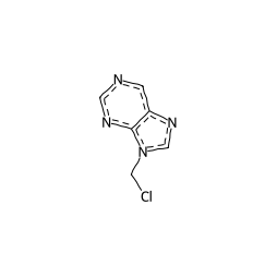 ClCn1cnc2cncnc21